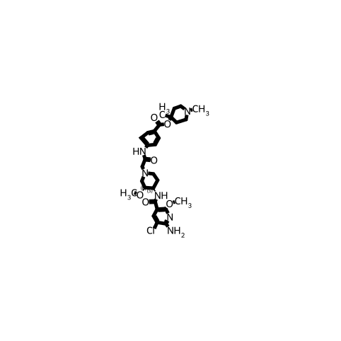 COc1nc(N)c(Cl)cc1C(=O)N[C@H]1CCN(CC(=O)Nc2ccc(C(=O)OC3(C)CCN(C)CC3)cc2)C[C@H]1OC